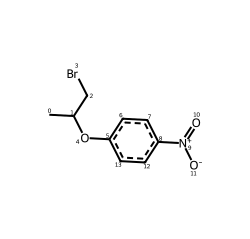 CC(CBr)Oc1ccc([N+](=O)[O-])cc1